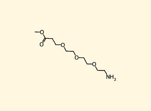 COC(=O)CCOCCOCCOCCN